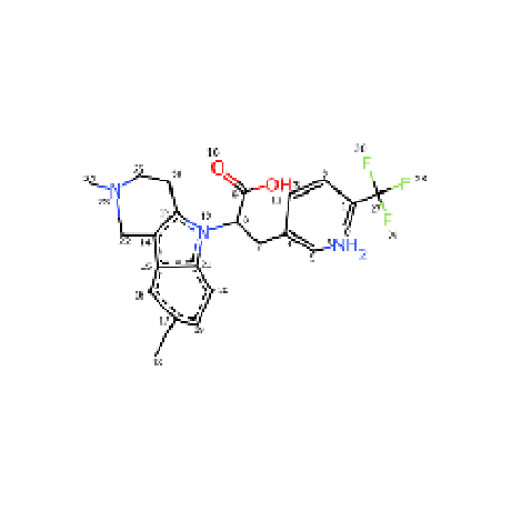 C=C(/C=C\C(=C/N)CC(C(=O)O)n1c2c(c3cc(C)ccc31)CN(C)CC2)C(F)(F)F